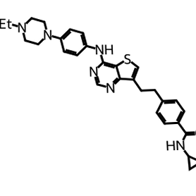 CCN1CCN(c2ccc(Nc3ncnc4c(CCc5ccc(C(=O)NC6CC6)cc5)csc34)cc2)CC1